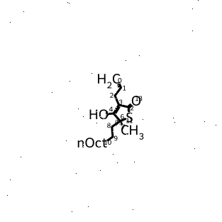 C=CCC1=C(O)[C@@](C)(CCCCCCCCCC)SC1=O